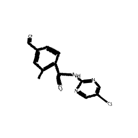 Cc1cc(C=O)ccc1C(=O)Nc1ncc(Cl)cn1